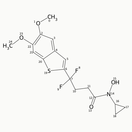 COc1cc2cc(C(F)(F)CCC(=O)N(O)C3CC3)sc2cc1OC